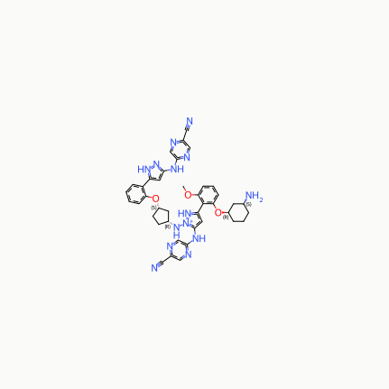 COc1cccc(O[C@@H]2CCC[C@H](N)C2)c1-c1cc(Nc2cnc(C#N)cn2)[n+](N[C@@H]2CC[C@H](Oc3ccccc3-c3cc(Nc4cnc(C#N)cn4)n[nH]3)C2)[nH]1